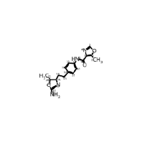 Cc1ocnc1C(=O)Nc1ccc(CCC2N=C(N)O[C@H]2C)cc1